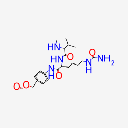 CNC(C(=O)N[C@@H](CCCCNC(N)=O)C(=O)Nc1ccc(COC=O)cc1)C(C)C